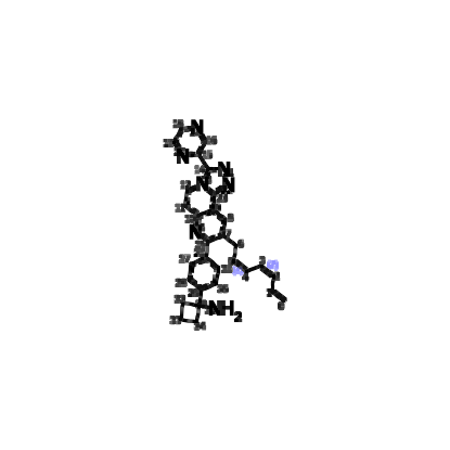 C=C/C=C\C=C/Cc1cc2c(ccn3c(-c4cnccn4)nnc23)nc1-c1ccc(C2(N)CCC2)cc1